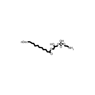 CCCCCCCCCCCCCCCCCCCCC(=O)OCC(O)COP(=O)(O)OCCN